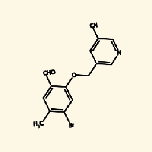 Cc1cc(C=O)c(OCc2cncc(C#N)c2)cc1Br